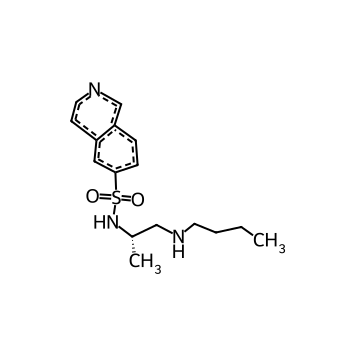 CCCCNC[C@H](C)NS(=O)(=O)c1ccc2cnccc2c1